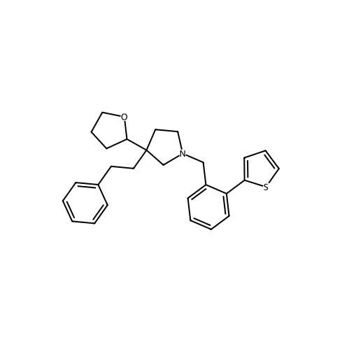 c1ccc(CCC2(C3CCCO3)CCN(Cc3ccccc3-c3cccs3)C2)cc1